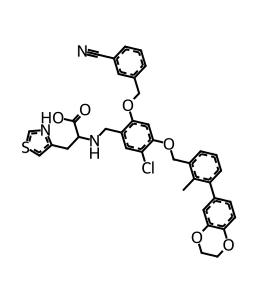 Cc1c(COc2cc(OCc3cccc(C#N)c3)c(CNC(Cc3cscn3)C(=O)O)cc2Cl)cccc1-c1ccc2c(c1)OCCO2